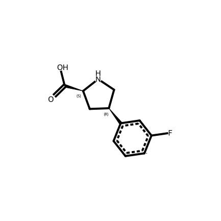 O=C(O)[C@@H]1C[C@H](c2cc[c]c(F)c2)CN1